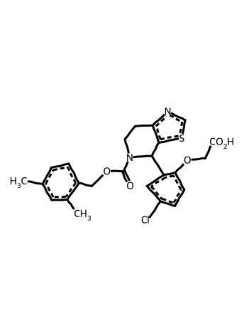 Cc1ccc(COC(=O)N2CCc3ncsc3C2c2cc(Cl)ccc2OCC(=O)O)c(C)c1